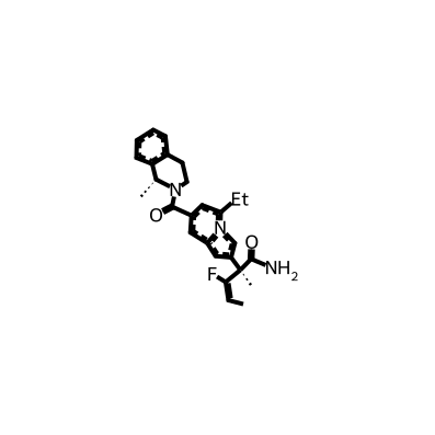 C/C=C(/F)[C@](C)(C(N)=O)c1cc2cc(C(=O)N3CCc4ccccc4[C@H]3C)cc(CC)n2c1